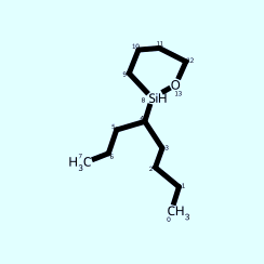 CCCCC(CCC)[SiH]1CCCCO1